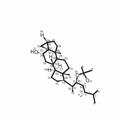 CC(C)[C@H](C)[C@H]1OC(C)(C)O[C@@H]1[C@@H](C)[C@H]1CC[C@H]2[C@@H]3C[C@H](O)[C@]45C[C@@H]4CC[C@]5(C)[C@H]3CC[C@]12C